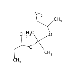 CCC(C)OC(C)(C)OC(C)CN